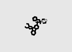 CCCCC1(CCCC)c2ccccc2-c2ccc(C(=O)C(C)(Cc3ccccc3)N3CCOCC3)cc21